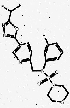 O=S(=O)(N1CCSCC1)N(Cc1ccc(-c2nnc(C(F)F)o2)cn1)c1cccc(F)c1